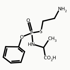 CC(NP(=O)(Oc1ccccc1)SCCN)C(=O)O